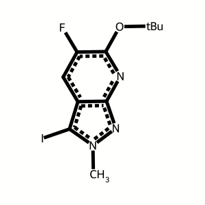 Cn1nc2nc(OC(C)(C)C)c(F)cc2c1I